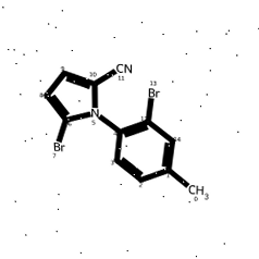 Cc1ccc(-n2c(Br)ccc2C#N)c(Br)c1